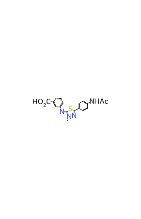 CC(=O)Nc1ccc(-c2nn(C)c(=Nc3cccc(C(=O)O)c3)s2)cc1